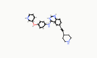 C(#CC1CCNCC1)c1ccc2ncnc(Nc3ccc(Oc4cccnc4)cc3)c2c1